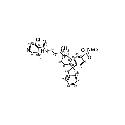 CNS(=O)(=O)c1ccc(C2(C3CCN(C(C)CCNC(=O)c4c(Cl)cncc4Cl)CC3)Cc3c(F)cccc3O2)cc1